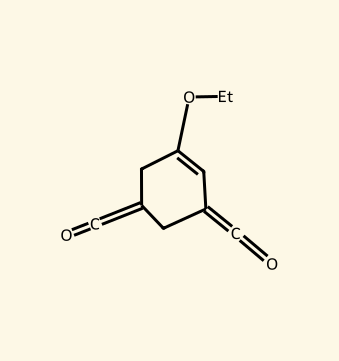 CCOC1=CC(=C=O)CC(=C=O)C1